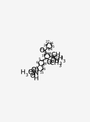 COc1c(-c2ccc3cc(NS(C)(=O)=O)ccc3c2)cc(C(=O)c2ccccc2)cc1C(C)(C)C